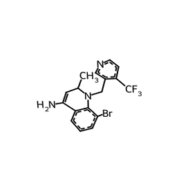 CC1C=C(N)c2cccc(Br)c2N1Cc1cnccc1C(F)(F)F